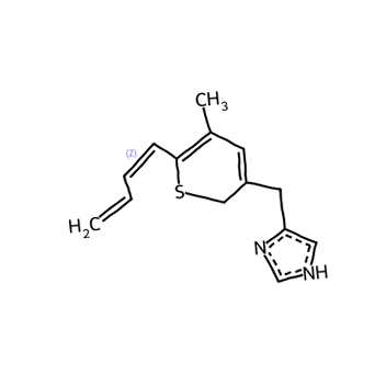 C=C/C=C\C1=C(C)C=C(Cc2c[nH]cn2)CS1